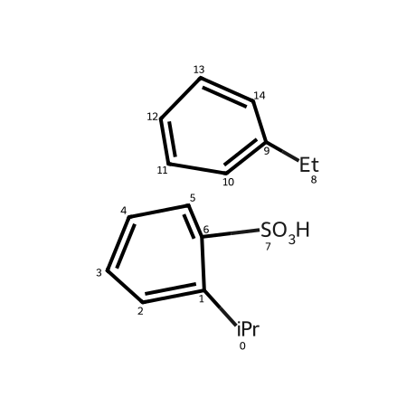 CC(C)c1ccccc1S(=O)(=O)O.CCc1ccccc1